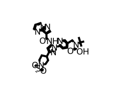 CC(C)(C)N(Cc1ccc(-n2nc(C3CCN(S(C)(=O)=O)CC3)cc2NC(=O)c2cnn3cccnc23)nc1)C(=O)O